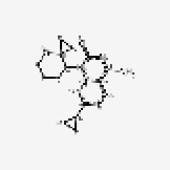 Nc1nc(=O)n(C2CCCOC23CC3)c2nc(C3CC3)ccc12